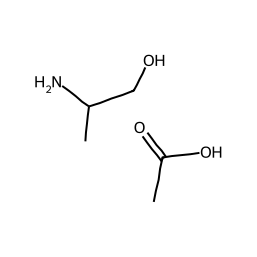 CC(=O)O.CC(N)CO